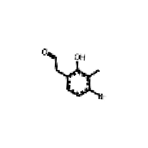 Cc1c(Br)ccc(CC=O)c1O